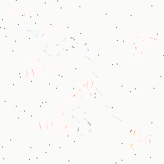 C=C(/C=C/C=C/C=C/C=C1/N(CCCCCC(=O)O)c2ccc3c(C(=O)NCCOC)cc(S(=O)(=O)O)cc3c2C1(C)C)C(C)(CCCS(=O)(=O)O)c1c(C)ccc2c(S(=O)(=O)O)cc(S(=O)(=O)O)cc12